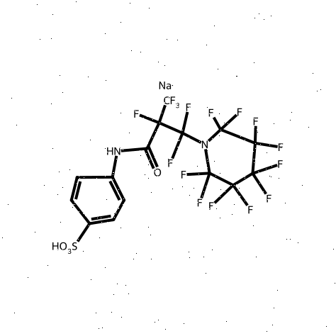 O=C(Nc1ccc(S(=O)(=O)O)cc1)C(F)(C(F)(F)F)C(F)(F)N1C(F)(F)C(F)(F)C(F)(F)C(F)(F)C1(F)F.[Na]